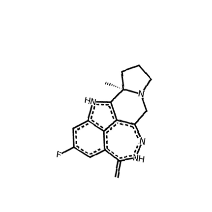 C=c1[nH]nc2c3c([nH]c4cc(F)cc1c43)[C@@]1(C)CCCN1C2